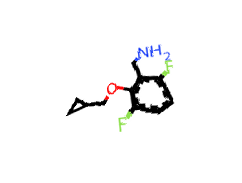 NCc1c(F)ccc(F)c1OCC1CC1